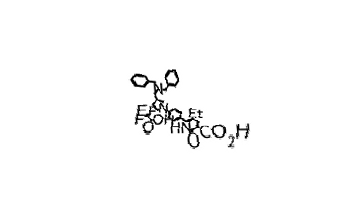 CCc1cc(C(=O)O)c(=O)[nH]c1-c1ccc(N2CCC(CN(Cc3ccccc3)Cc3ccccc3)C2)cc1.O=C(O)C(F)(F)F